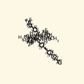 COC(=O)N[C@H](C(=O)N[C@@H](Cc1ccc(C#Cc2ccc(N3CCN(C4COC4)CC3)nc2)cc1)[C@@H](O)CN(Cc1ccc(-c2cnn(C(F)F)c2)cc1)NC(=O)[C@@H](NC(=O)OC)C(C)(C)C(F)(F)F)C(C)(C)C(F)(F)F